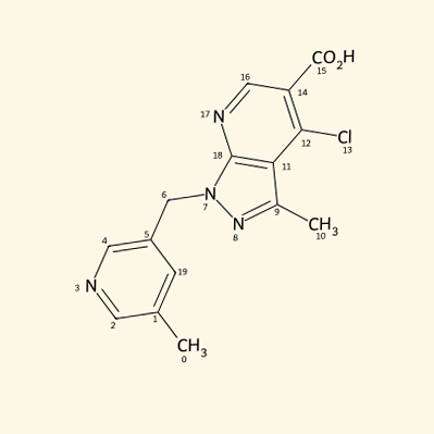 Cc1cncc(Cn2nc(C)c3c(Cl)c(C(=O)O)cnc32)c1